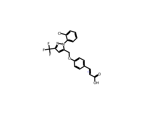 O=C(O)/C=C/c1ccc(OCc2cc(C(F)(F)F)nn2-c2ccccc2Cl)cc1